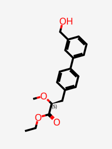 CCOC(=O)[C@H](Cc1ccc(-c2cccc(CO)c2)cc1)OC